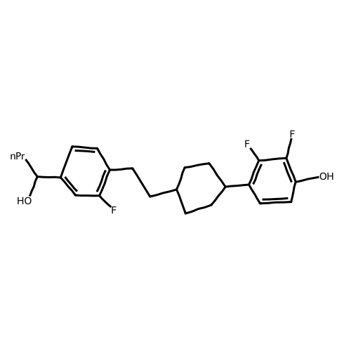 CCCC(O)c1ccc(CCC2CCC(c3ccc(O)c(F)c3F)CC2)c(F)c1